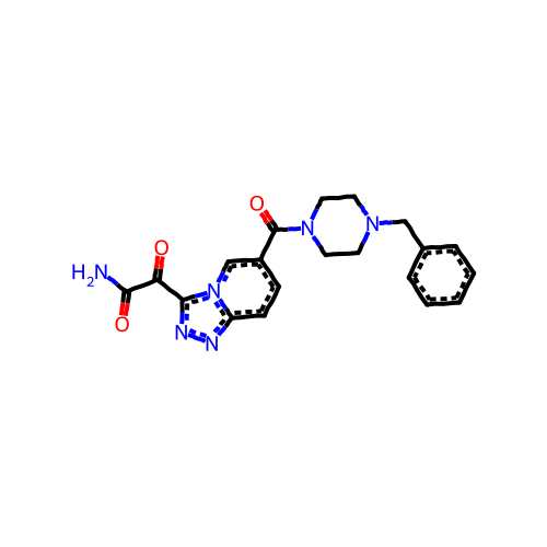 NC(=O)C(=O)c1nnc2ccc(C(=O)N3CCN(Cc4ccccc4)CC3)cn12